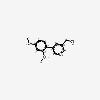 COc1ccc(-c2cncc(CCl)c2)c(OC)c1